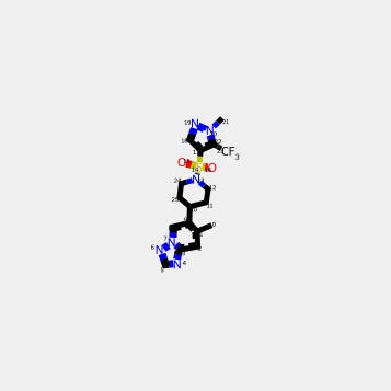 Cc1cc2ncnn2cc1C1CCN(S(=O)(=O)c2cnn(C)c2C(F)(F)F)CC1